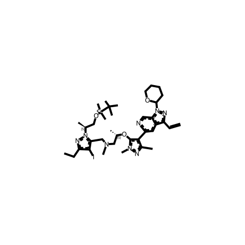 C=Cc1nn(C2CCCCO2)c2cnc(-c3c(C)nn(C)c3O[C@@H](C)CN(C)Cc3c(I)c(CC)nn3[C@@H](C)CO[Si](C)(C)C(C)(C)C)cc12